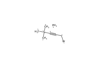 C[Si](C)(C)C#CCBr.P